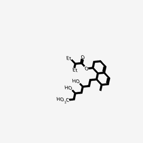 CCC(CC)C(=O)OC1CCC=C2C=CC(C)C(CCC(O)CC(O)CC(=O)O)C21